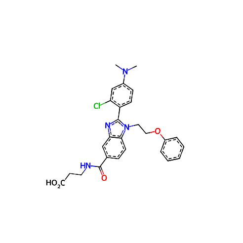 CN(C)c1ccc(-c2nc3cc(C(=O)NCCC(=O)O)ccc3n2CCOc2ccccc2)c(Cl)c1